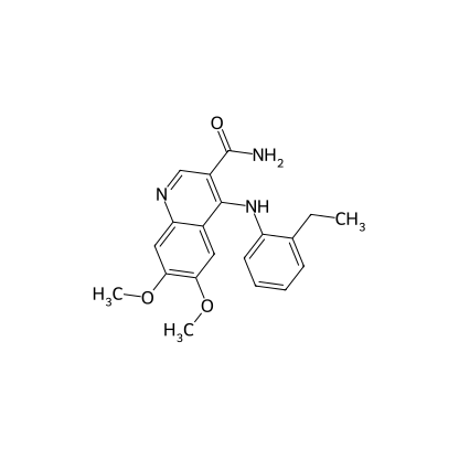 CCc1ccccc1Nc1c(C(N)=O)cnc2cc(OC)c(OC)cc12